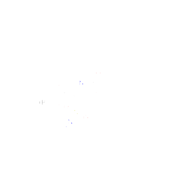 CC(C)(C)OC(=O)[C@@H](CS(N)(=O)=O)NC(=O)OCc1ccccc1